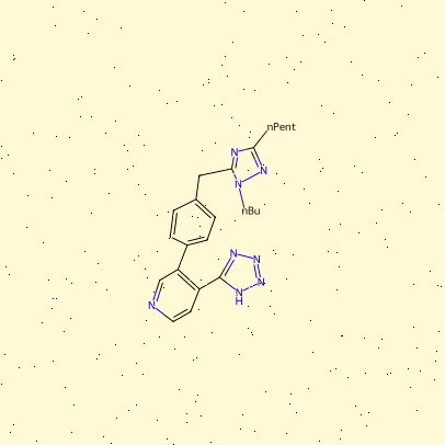 CCCCCc1nc(Cc2ccc(-c3cnccc3-c3nnn[nH]3)cc2)n(CCCC)n1